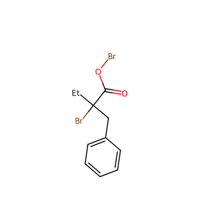 CCC(Br)(Cc1ccccc1)C(=O)OBr